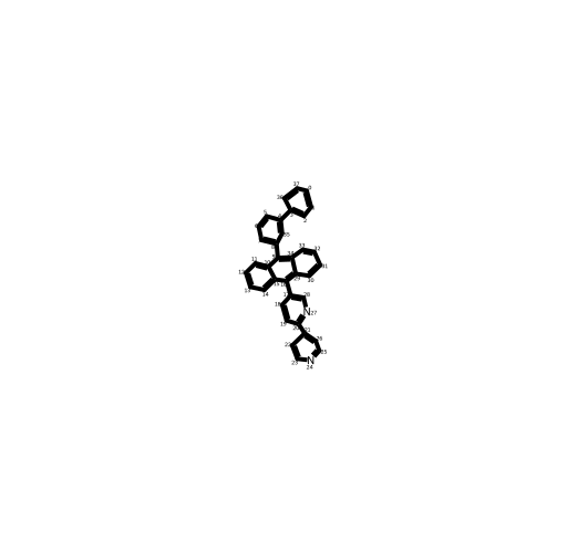 c1ccc(-c2cccc(-c3c4ccccc4c(-c4ccc(-c5ccncc5)nc4)c4ccccc34)c2)cc1